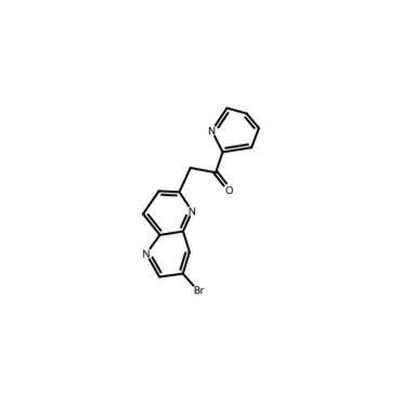 O=C(Cc1ccc2ncc(Br)cc2n1)c1ccccn1